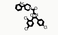 CC(=O)C1(c2ccccc2)CCN(C(=O)c2nc(-c3ccc(Cl)cc3)c(-c3ccc(Cl)cc3Cl)o2)CC1